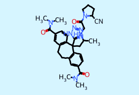 CC(CC1(c2nnn[nH]2)c2ccc(C(=O)N(C)C)cc2CCc2cc(C(=O)N(C)C)ccc21)NCC(=O)N1CCCC1C#N